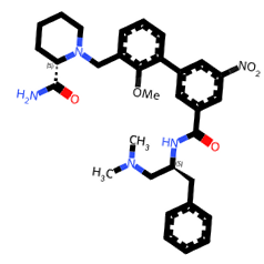 COc1c(CN2CCCC[C@H]2C(N)=O)cccc1-c1cc(C(=O)N[C@@H](Cc2ccccc2)CN(C)C)cc([N+](=O)[O-])c1